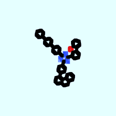 c1ccc(-c2ccc(-c3ccc(-c4nc(-c5ccc(-c6cccc7ccc8ccccc8c67)cc5)nc(-c5cccc6c5oc5ccccc56)n4)cc3)cc2)cc1